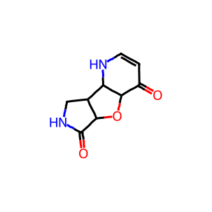 O=C1NCC2C1OC1C(=O)C=CNC12